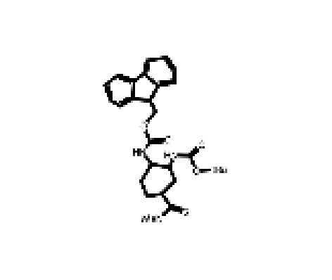 CNC(=S)C1CCC(NC(=O)OCC2c3ccccc3-c3ccccc32)C(NC(=O)OC(C)(C)C)C1